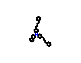 C(C=Cc1ccc(N(c2ccc(C=CC=Cc3ccccc3)cc2)c2ccc3ccccc3c2)cc1)=Cc1ccccc1